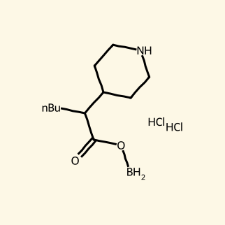 BOC(=O)C(CCCC)C1CCNCC1.Cl.Cl